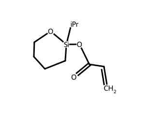 C=CC(=O)O[Si]1(C(C)C)CCCCO1